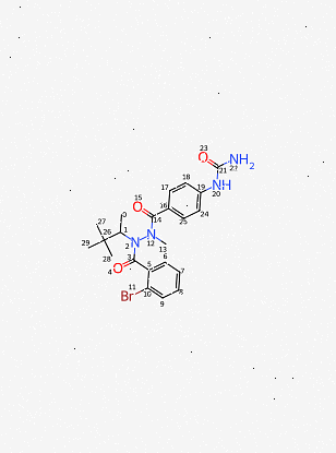 CC(N(C(=O)c1ccccc1Br)N(C)C(=O)c1ccc(NC(N)=O)cc1)C(C)(C)C